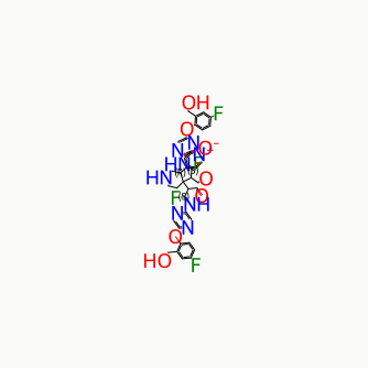 O=CC([C@H](F)Nc1cnc(Oc2ccc(F)cc2CO)cn1)C1(C(C=O)[C@H](F)Nc2cnc(Oc3ccc(F)cc3CO)cn2)CCNC[C@H]1c1cc[n+]([O-])cc1